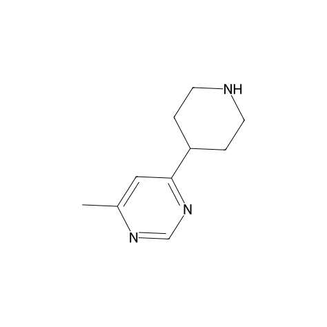 Cc1cc(C2CCNCC2)ncn1